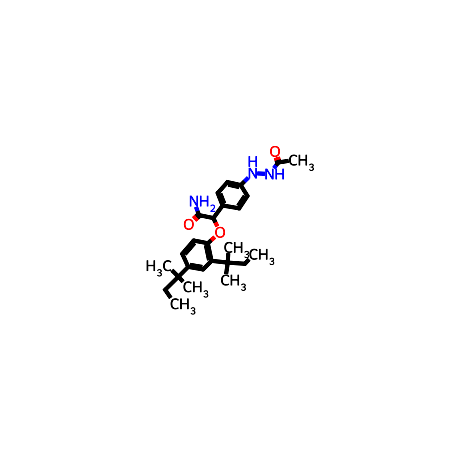 CCC(C)(C)c1ccc(OC(C(N)=O)c2ccc(NNC(C)=O)cc2)c(C(C)(C)CC)c1